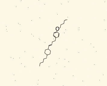 CCCCCOc1ccc(CCC=CC2CCC(CCCCC)CC2)cc1